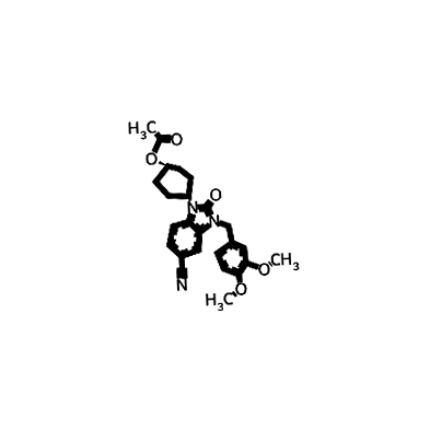 COc1ccc(Cn2c(=O)n([C@H]3CC[C@@H](OC(C)=O)CC3)c3ccc(C#N)cc32)cc1OC